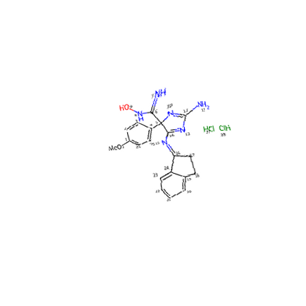 COc1ccc(C2(C(=N)NO)N=C(N)N=C2N=C2CCc3ccccc32)cc1.Cl.Cl